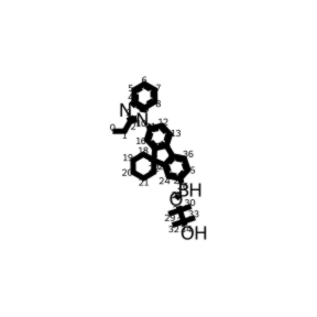 CCc1nc2ccccc2n1-c1ccc2c(c1)C1(CCCCC1)c1cc(BOC(C)(C)C(C)(C)O)ccc1-2